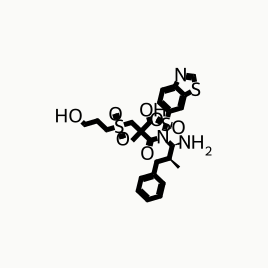 C[C@@H](Cc1ccccc1)[C@@H](N)N(C(=O)C(C)(CO)CS(=O)(=O)CCCO)S(=O)(=O)c1ccc2ncsc2c1